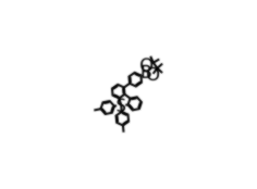 Cc1ccc(S2(c3ccc(C)cc3)c3ccccc3-c3c(-c4ccc(B5OC(C)(C)C(C)(C)O5)cc4)cccc32)cc1